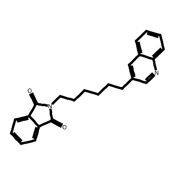 O=C1c2ccccc2C(=O)N1CCCCCCc1cnc2ccccc2c1